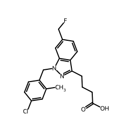 Cc1cc(Cl)ccc1Cn1nc(CCCC(=O)O)c2ccc(CF)cc21